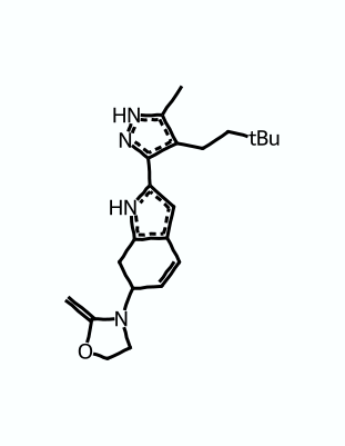 C=C1OCCN1C1C=Cc2cc(-c3n[nH]c(C)c3CCC(C)(C)C)[nH]c2C1